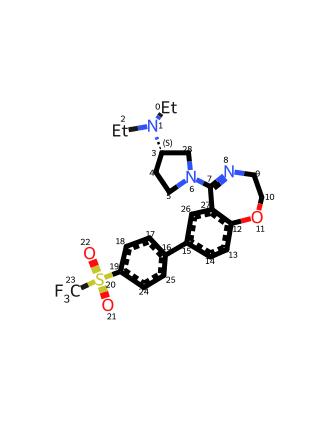 CCN(CC)[C@H]1CCN(C2=NCCOc3ccc(-c4ccc(S(=O)(=O)C(F)(F)F)cc4)cc32)C1